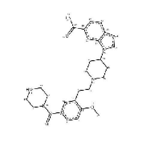 COc1ccc(C(=O)N2CCNCC2)cc1CCN1CCC(n2ccc3ccc(C(N)=O)cc32)CC1